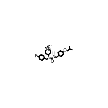 CC(C)COc1ccc(CNC(=O)N(Cc2ccc(F)cc2)C2CC[N+](C)([O-])CC2)cc1